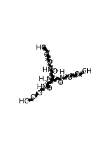 C#CCOCCOCCNC(=O)CCC(N)(CCC(=O)NCCOCCOCC#C)CCC(=O)NCCOCCOCC#C